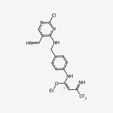 CCO/C(=C/C(=N)C(F)(F)F)Nc1ccc(CNc2nc(Cl)ncc2C=N)cc1